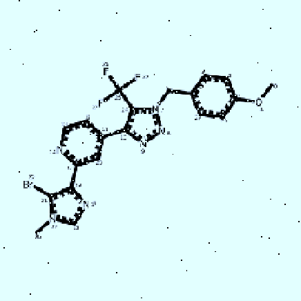 COc1ccc(Cn2nnc(-c3ccnc(-c4ncn(C)c4Br)c3)c2C(F)(F)F)cc1